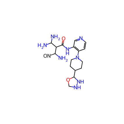 NC(N)C(C(=O)Nc1cnccc1N1CCC(C2NNCO2)CC1)C(N)N=O